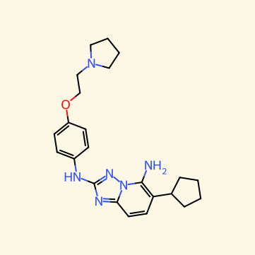 Nc1c(C2CCCC2)ccc2nc(Nc3ccc(OCCN4CCCC4)cc3)nn12